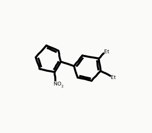 CCc1ccc(-c2ccc[c]c2[N+](=O)[O-])cc1CC